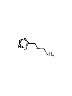 NC[CH]Cc1ccno1